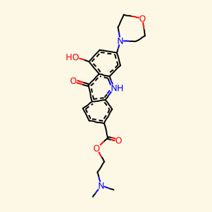 CN(C)CCOC(=O)c1ccc2c(=O)c3c(O)cc(N4CCOCC4)cc3[nH]c2c1